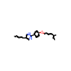 CCCCCc1cnc(-c2ccc(OCCCCC(C)CC)cc2)nc1